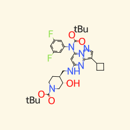 CC(C)(C)OC(=O)N1CC[C@@H](CNc2cc(N(C(=O)OC(C)(C)C)c3cc(F)cc(F)c3)n3ncc(C4CCC4)c3n2)[C@H](O)C1